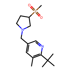 Cc1cc(CN2CCC(S(C)(=O)=O)C2)cnc1C(C)(C)C